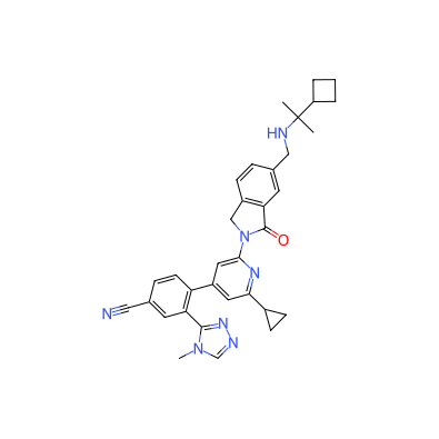 Cn1cnnc1-c1cc(C#N)ccc1-c1cc(C2CC2)nc(N2Cc3ccc(CNC(C)(C)C4CCC4)cc3C2=O)c1